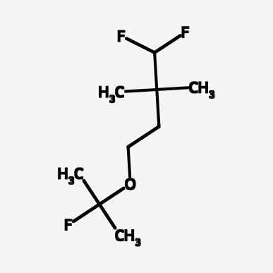 CC(C)(F)OCCC(C)(C)C(F)F